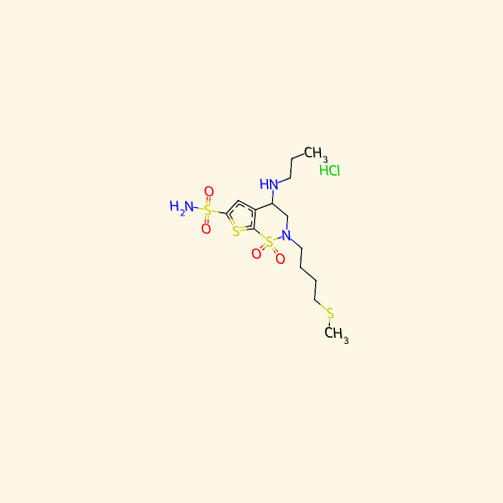 CCCNC1CN(CCCCSC)S(=O)(=O)c2sc(S(N)(=O)=O)cc21.Cl